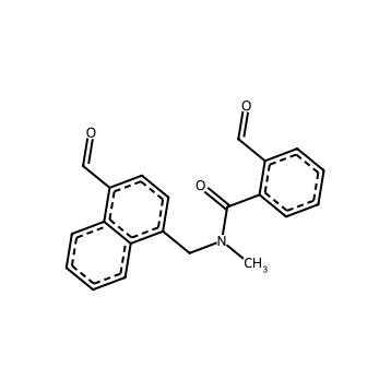 CN(Cc1ccc(C=O)c2ccccc12)C(=O)c1ccccc1C=O